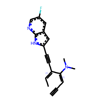 C#C/C=C(\C(C#Cc1cc2cc(F)cnc2[nH]1)=C/C)N(C)C